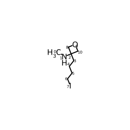 CNC1(CCCCI)COC1